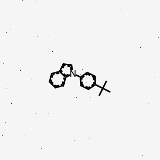 CC(C)(C)c1ccc(-n2ccc3ccccc32)cc1